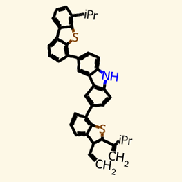 C=CC1c2cccc(-c3ccc4[nH]c5ccc(-c6cccc7c6sc6c(C(C)C)cccc67)cc5c4c3)c2SC1C(=C)C(C)C